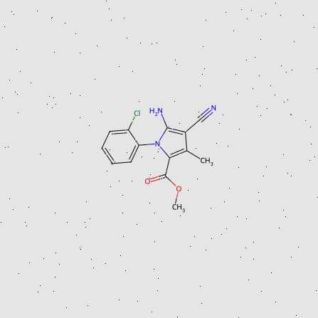 COC(=O)c1c(C)c(C#N)c(N)n1-c1ccccc1Cl